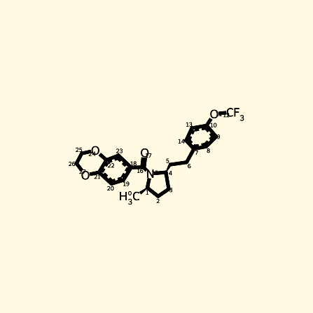 C[C@@H]1CC[C@H](CCc2ccc(OC(F)(F)F)cc2)N1C(=O)c1ccc2c(c1)OCCO2